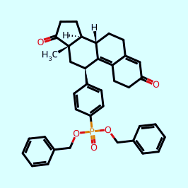 C[C@]12C[C@H](c3ccc(P(=O)(OCc4ccccc4)OCc4ccccc4)cc3)C3=C4CCC(=O)C=C4CC[C@H]3[C@@H]1CCC2=O